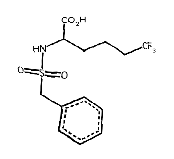 O=C(O)C(CCCC(F)(F)F)NS(=O)(=O)Cc1ccccc1